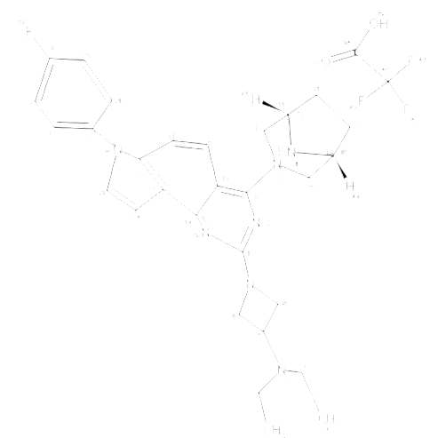 CCN(CC)C1CN(c2nc(N3C[C@H]4CC[C@@H](C3)N4)c3ccc4c(ccn4-c4ccc(F)cc4)c3n2)C1.O=C(O)C(F)(F)F